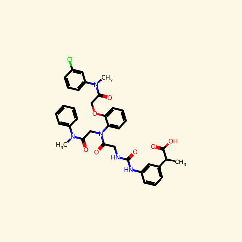 CC(C(=O)O)c1cccc(NC(=O)NCC(=O)N(CC(=O)N(C)c2ccccc2)c2ccccc2OCC(=O)N(C)c2cccc(Cl)c2)c1